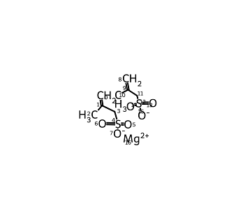 C=C(C)CS(=O)(=O)[O-].C=C(C)CS(=O)(=O)[O-].[Mg+2]